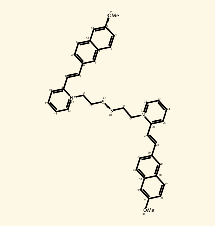 COc1ccc2cc(/C=C/c3cccc[n+]3CCSSCC[n+]3ccccc3/C=C/c3ccc4cc(OC)ccc4c3)ccc2c1